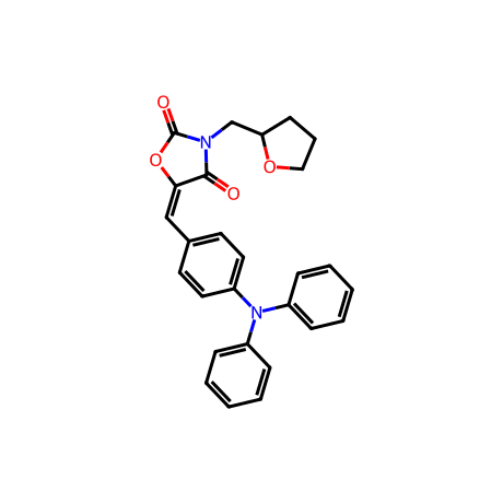 O=C1O/C(=C/c2ccc(N(c3ccccc3)c3ccccc3)cc2)C(=O)N1CC1CCCO1